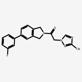 N#Cc1ncn(CC(=O)N2Cc3ccc(-c4cccc(F)c4)cc3C2)n1